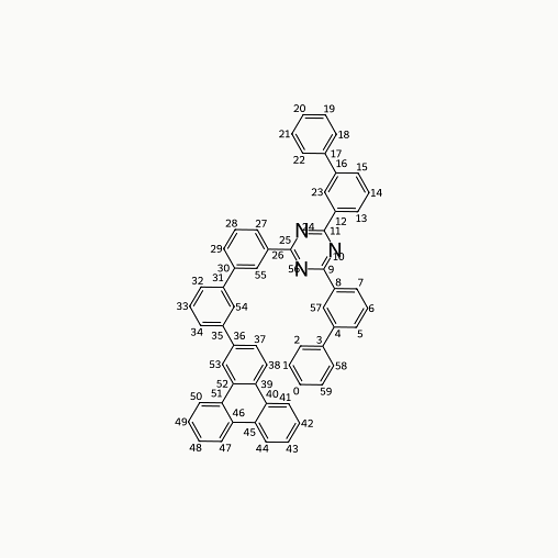 c1ccc(-c2cccc(-c3nc(-c4cccc(-c5ccccc5)c4)nc(-c4cccc(-c5cccc(-c6ccc7c8ccccc8c8ccccc8c7c6)c5)c4)n3)c2)cc1